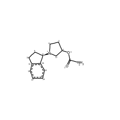 NC(=O)OC1CCN([C@@H]2CCc3ccccc32)C1